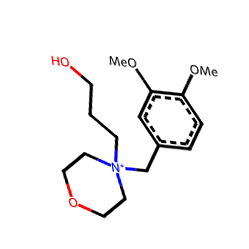 COc1ccc(C[N+]2(CCCO)CCOCC2)cc1OC